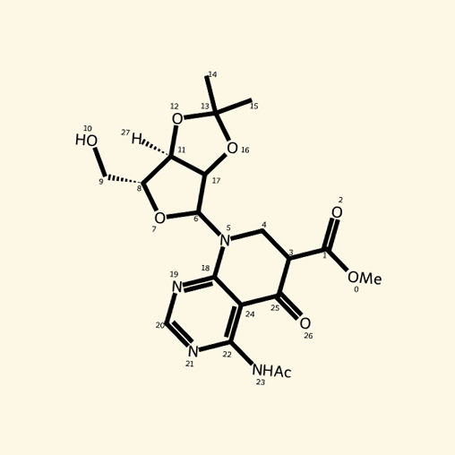 COC(=O)C1CN(C2O[C@H](CO)[C@H]3OC(C)(C)OC23)c2ncnc(NC(C)=O)c2C1=O